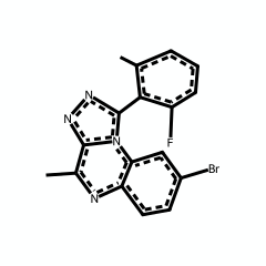 Cc1cccc(F)c1-c1nnc2c(C)nc3ccc(Br)cc3n12